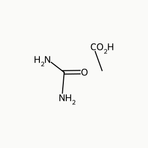 CC(=O)O.NC(N)=O